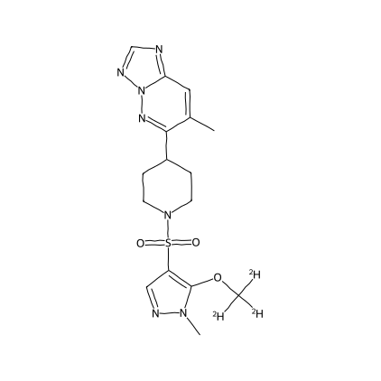 [2H]C([2H])([2H])Oc1c(S(=O)(=O)N2CCC(c3nn4ncnc4cc3C)CC2)cnn1C